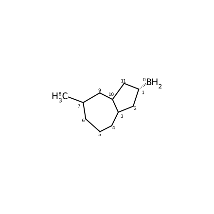 B[C@@H]1CC2CCCC(C)CC2C1